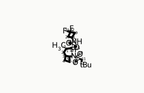 CC(CC1CCC1NS(=O)(=O)CC(C)(C)C)CS(=O)(=O)NC1CC(F)(F)C1